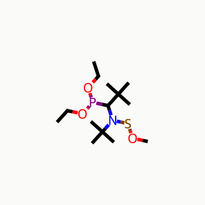 CCOP(OCC)C(N(SOC)C(C)(C)C)C(C)(C)C